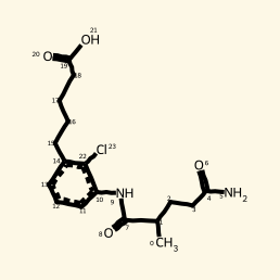 CC(CCC(N)=O)C(=O)Nc1cccc(CCCCC(=O)O)c1Cl